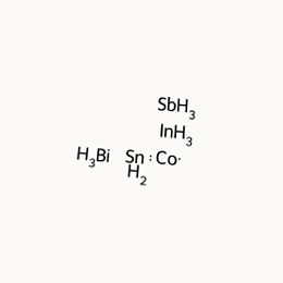 [BiH3].[Co].[InH3].[SbH3].[SnH2]